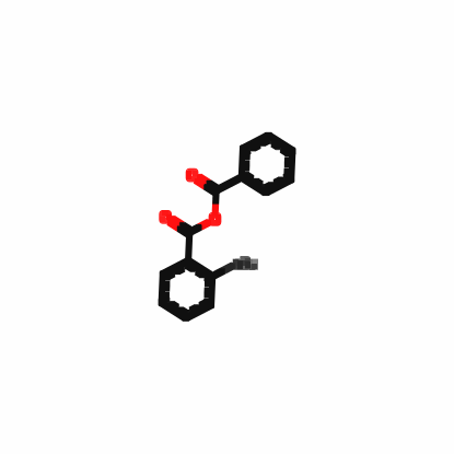 CCCCc1ccccc1C(=O)OC(=O)c1ccccc1